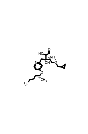 CCCC[C@@H](C)Oc1ccnc(C[C@](O)(C(O)C=O)[C@@H](N)COCC2CC2)c1